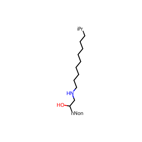 CCCCCCCCCC(O)CNCCCCCCCCCC(C)C